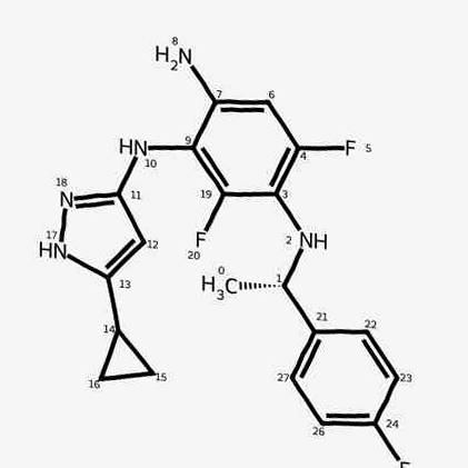 C[C@H](Nc1c(F)cc(N)c(Nc2cc(C3CC3)[nH]n2)c1F)c1ccc(F)cc1